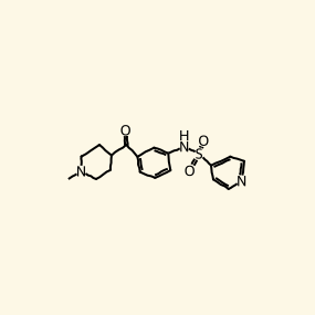 CN1CCC(C(=O)c2cccc(NS(=O)(=O)c3ccncc3)c2)CC1